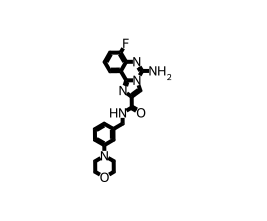 Nc1nc2c(F)cccc2c2nc(C(=O)NCc3cccc(N4CCOCC4)c3)cn12